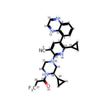 N#Cc1cc(-c2cccc3nccnc23)c(C2CC2)nc1N1CCN(C(=O)CC(F)(F)F)[C@H](C2CC2)C1